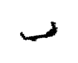 CCCCC/C=C\CCCOC[C@@H](COCCCCCCCO[C@H]1CC[C@@]2(C)C(=CC[C@@H]3C2CC[C@@]2(C)C3CC[C@@H]2[C@H](C)CCCC(C)C)C1)N(C)C